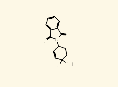 CC1(C)C=CC(N2C(=O)c3ccccc3C2=O)CC1